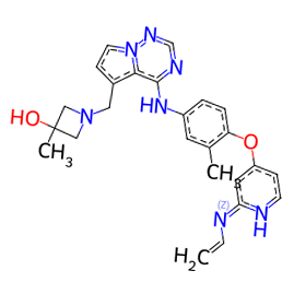 C=C/N=c1/cc(Oc2ccc(Nc3ncnn4ccc(CN5CC(C)(O)C5)c34)cc2C)cc[nH]1